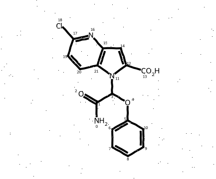 NC(=O)C(Oc1ccccc1)n1c(C(=O)O)cc2nc(Cl)ccc21